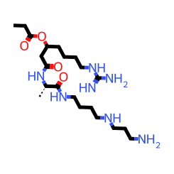 CCC(=O)OC(CCCCNC(=N)N)CC(=O)N[C@@H](C)C(=O)NCCCCNCCCN